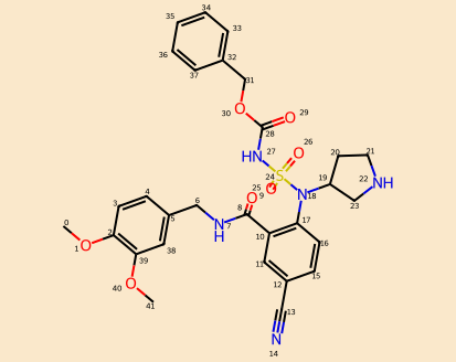 COc1ccc(CNC(=O)c2cc(C#N)ccc2N(C2CCNC2)S(=O)(=O)NC(=O)OCc2ccccc2)cc1OC